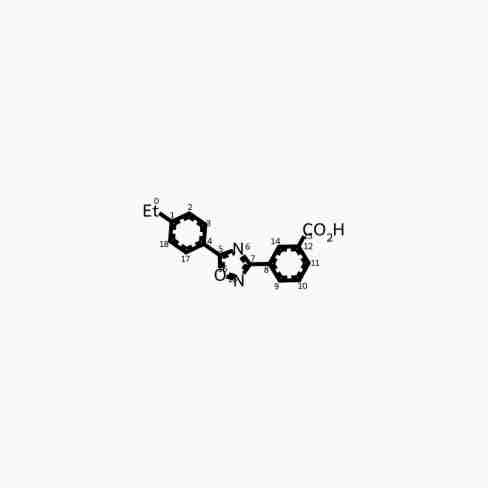 CCc1ccc(-c2nc(-c3cccc(C(=O)O)c3)no2)cc1